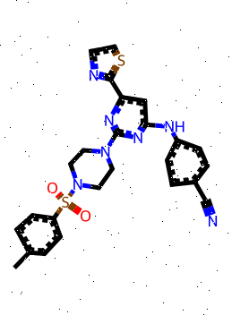 Cc1ccc(S(=O)(=O)N2CCN(c3nc(Nc4ccc(C#N)cc4)cc(-c4nccs4)n3)CC2)cc1